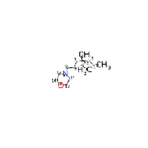 CCCC(C)(CC)CCCN1CCOCC1